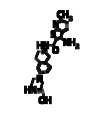 Cc1ccc2c(N)c(C(=O)N[C@@H]3CCc4cc(N5CCN[C@@H](CO)C5)ccc4C3)sc2n1